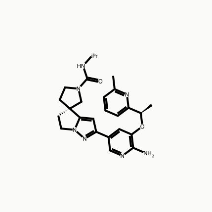 Cc1cccc([C@@H](C)Oc2cc(-c3cc4n(n3)CC[C@@]43CCN(C(=O)NC(C)C)C3)cnc2N)n1